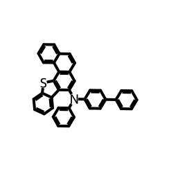 c1ccc(-c2ccc(N(c3ccccc3)c3cc4ccc5ccccc5c4c4sc5ccccc5c34)cc2)cc1